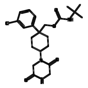 CC(C)(C)NC(=O)OCC1(c2cccc(Cl)c2)CCC(N2CC(=O)NCC2=O)CC1